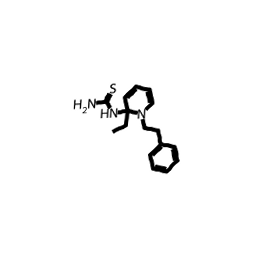 CCC1(NC(N)=S)C=CC=CN1CCc1ccccc1